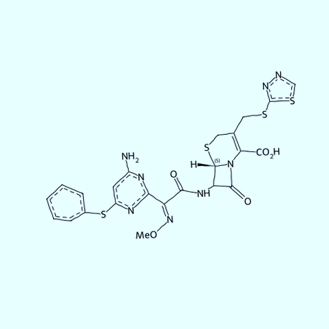 CON=C(C(=O)NC1C(=O)N2C(C(=O)O)=C(CSc3nncs3)CS[C@@H]12)c1nc(N)cc(Sc2ccccc2)n1